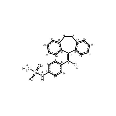 CS(=O)(=O)Nc1ccc(C(Cl)=C2c3ccccc3CCc3ccccc32)cc1